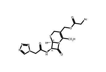 CC(=O)CC(=O)OCC1=C(C(=O)O)N2C(=O)[C@@H](NC(=O)Cn3cnnn3)[C@H]2SC1